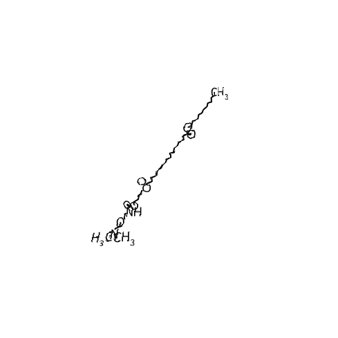 CCCCCCCCCCCCOC(=O)CCCCCCCCCCCCCCCCC(=O)OCCCCCOC(=O)NCCOCCN(C)C